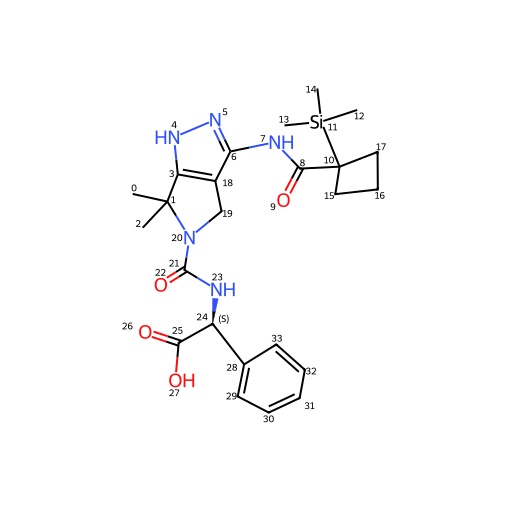 CC1(C)c2[nH]nc(NC(=O)C3([Si](C)(C)C)CCC3)c2CN1C(=O)N[C@H](C(=O)O)c1ccccc1